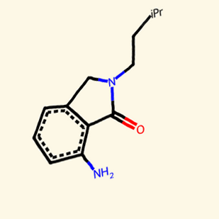 CC(C)CCN1Cc2cccc(N)c2C1=O